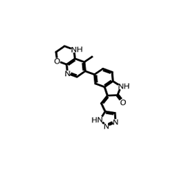 Cc1c(-c2ccc3c(c2)C(=Cc2cnn[nH]2)C(=O)N3)cnc2c1NCCO2